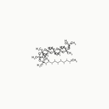 CCCCCCCCCC[Si](C)(C)O[Si](C)(C)O[Si](C)(C)O[Si](C)(C)O[Si](C)(C)O[Si](C)(C)O[Si](C)(C)O[SiH](C)C